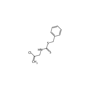 C=C(Cl)CNC(=S)SCc1ccccc1